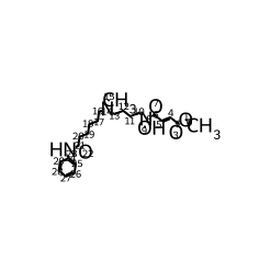 COC(=O)/C=C/C(=O)N(O)CCCCN(C)CCCCCC(=O)Nc1ccccc1